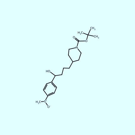 C[S+]([O-])c1ccc(C(O)CCCC2CCN(C(=O)OC(C)(C)C)CC2)cc1